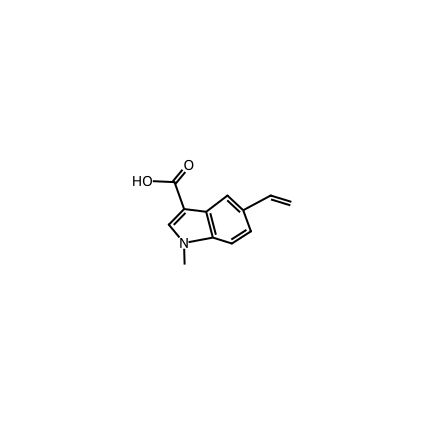 C=Cc1ccc2c(c1)c(C(=O)O)cn2C